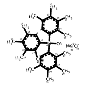 Cc1cc([Si]([O-])(c2cc(C)c(C)c(C)c2C)c2cc(C)c(C)c(C)c2C)c(C)c(C)c1C.[Cl-].[Mg+2]